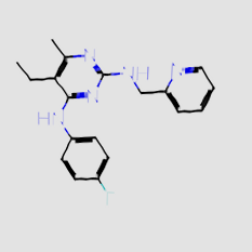 CCc1c(C)nc(NCc2ccccn2)nc1Nc1ccc(F)cc1